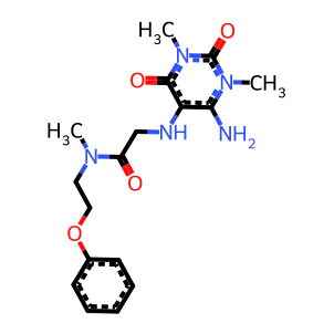 CN(CCOc1ccccc1)C(=O)CNc1c(N)n(C)c(=O)n(C)c1=O